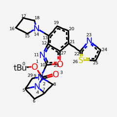 CC(C)(C)OC(=O)N1C2CC1CN(c1nc3c(N4CCCC4)ccc(-c4nccs4)c3o1)C2